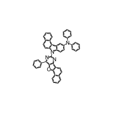 c1ccc(-c2nc(-n3c4ccc(N(c5ccccc5)c5ccccc5)cc4c4c5ccccc5ccc43)nc3c2oc2c4ccccc4ccc32)cc1